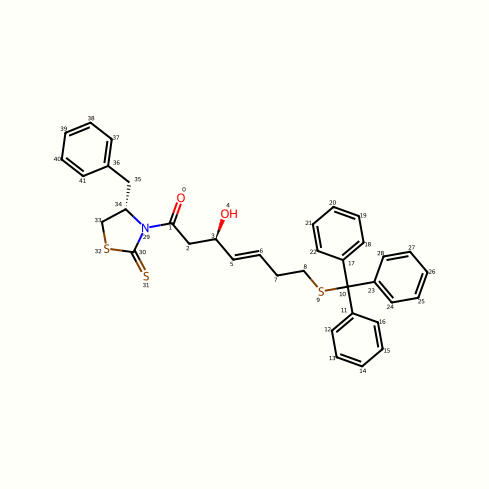 O=C(C[C@@H](O)/C=C/CCSC(c1ccccc1)(c1ccccc1)c1ccccc1)N1C(=S)SC[C@@H]1Cc1ccccc1